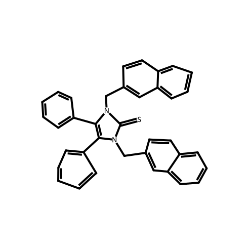 S=c1n(Cc2ccc3ccccc3c2)c(-c2ccccc2)c(-c2ccccc2)n1Cc1ccc2ccccc2c1